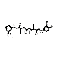 O=C(COc1ccc(F)c(F)c1)NCC[C@H](O)CNC(=O)COc1cccc(C(F)(F)F)c1